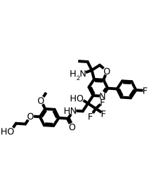 CCC1(N)COc2c1cc(C(O)(CNC(=O)c1ccc(OCCO)c(OC)c1)C(F)(F)F)nc2-c1ccc(F)cc1